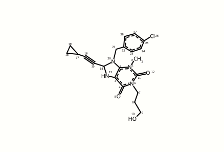 Cn1c2c(c(=O)n(CCCO)c1=O)NC(C#CC1CC1)N2Cc1ccc(Cl)cc1